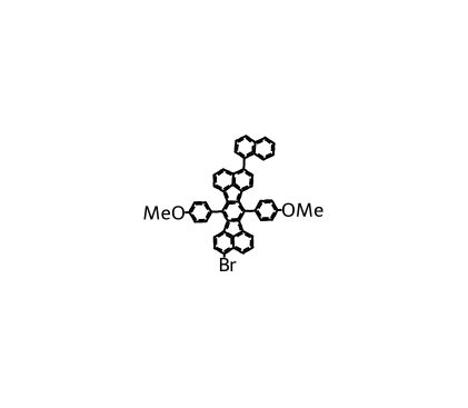 COc1ccc(-c2c3c4ccc(Br)c5cccc(c3c(-c3ccc(OC)cc3)c3c6ccc(-c7cccc8ccccc78)c7cccc(c23)c76)c54)cc1